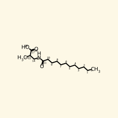 CCCCCCCCCCCC(=O)NCC(C)C(=O)O